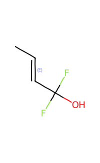 C/C=C/C(O)(F)F